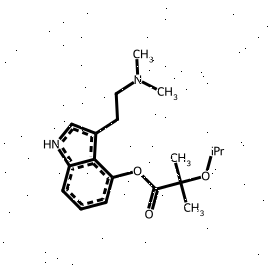 CC(C)OC(C)(C)C(=O)Oc1cccc2[nH]cc(CCN(C)C)c12